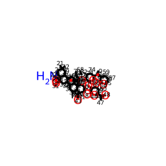 CCC1O[C@@H](OC2[C@H](O[C@H]3CCC4(C)C5CC=C6C7CC(C)(C)CC[C@]7(C(N)=O)C(OC)C[C@@]6(C)[C@@]5(C)CC[C@H]4[C@@]3(C)C=O)OC(C(C)=O)[C@@H](C)[C@@H]2O[C@@H]2OC[C@@H](C)[C@@H](C)C2C)C(O[Si](CC)(CC)CC)[C@@H](C)[C@@H]1C